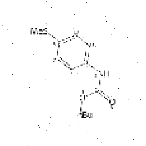 CCCCOC(=O)Nc1ccc(SC)cc1